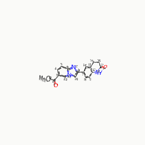 COC(=O)c1ccc2nc(-c3ccc4c(c3)CCC(=O)N4)cn2c1